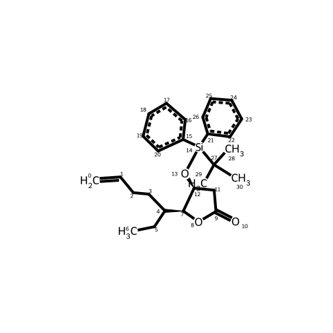 C=CCCC(CC)[C@@H]1OC(=O)C[C@@H]1O[Si](c1ccccc1)(c1ccccc1)C(C)(C)C